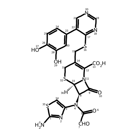 Nc1nc(N(C(=O)C=O)[C@@H]2C(=O)N3C(C(=O)O)=C(CSc4ncncc4-c4ccc(O)c(O)c4)CS[C@H]23)cs1